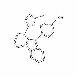 Cc1ccc(-c2cccc3c4ccccc4n(-c4ccc(O)cc4)c23)s1